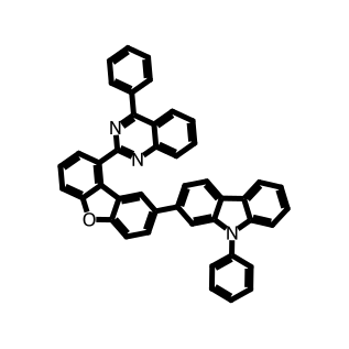 c1ccc(-c2nc(-c3cccc4oc5ccc(-c6ccc7c8ccccc8n(-c8ccccc8)c7c6)cc5c34)nc3ccccc23)cc1